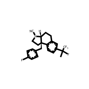 CC(F)(c1ccc2c(c1)CC[C@H]1N(C#N)CC[C@@]21Cc1ccc(F)cc1)C(F)(F)F